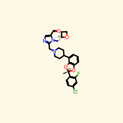 C[C@]1(c2ccc(Cl)cc2F)Oc2cccc(C3CCN(Cc4ncc(C=O)n4C[C@@H]4CCO4)CC3)c2O1